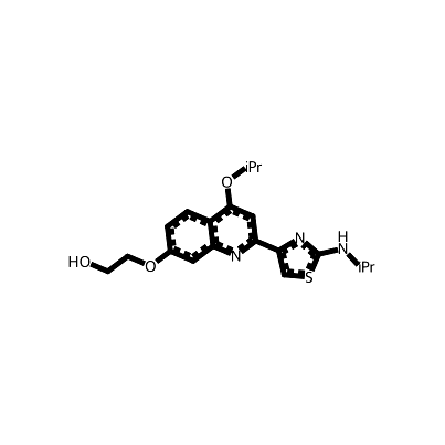 CC(C)Nc1nc(-c2cc(OC(C)C)c3ccc(OCCO)cc3n2)cs1